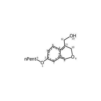 CCCCCOc1ccc2c(c1)=COCC=2CO